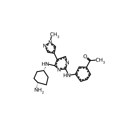 CC(=O)c1cccc(Nc2ncc(-c3cnn(C)c3)c(N[C@H]3CC[C@@H](N)CC3)n2)c1